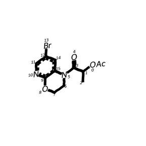 CC(=O)OC(C)C(=O)N1CCOc2ncc(Br)cc21